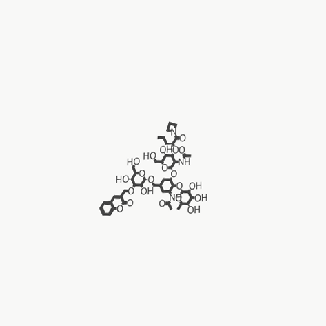 CCC[C@H](OC1C(NC(C)=O)[C@H](O[C@@H]2CC(CO[C@H]3OC(CO)[C@@H](O)C(OCc4cc5ccccc5oc4=O)C3O)CC(NC(C)=O)C2O[C@@H]2OC(C)[C@@H](O)C(O)C2O)OC(CO)[C@@H]1O)C(=O)N1CCC1